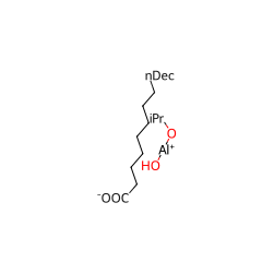 CC(C)[O][Al+][OH].CCCCCCCCCCCCCCCCCC(=O)[O-]